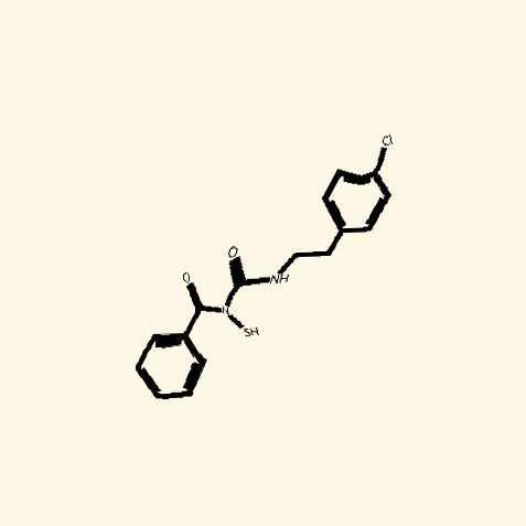 O=C(NCCc1ccc(Cl)cc1)N(S)C(=O)c1ccccc1